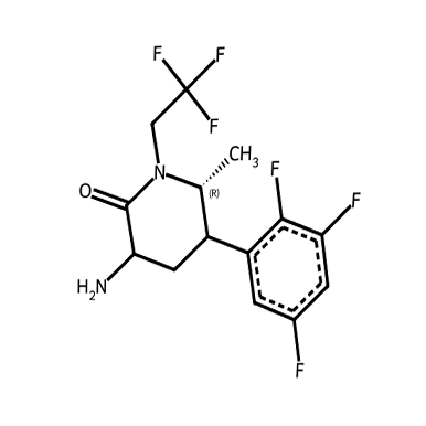 C[C@@H]1C(c2cc(F)cc(F)c2F)CC(N)C(=O)N1CC(F)(F)F